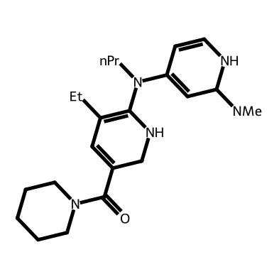 CCCN(C1=CC(NC)NC=C1)C1=C(CC)C=C(C(=O)N2CCCCC2)CN1